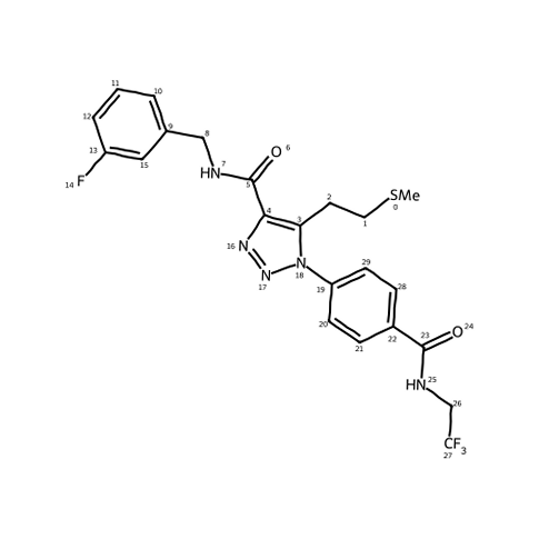 CSCCc1c(C(=O)NCc2cccc(F)c2)nnn1-c1ccc(C(=O)NCC(F)(F)F)cc1